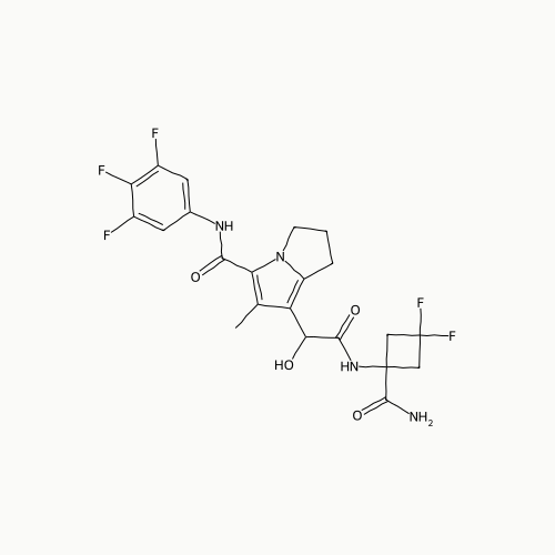 Cc1c(C(O)C(=O)NC2(C(N)=O)CC(F)(F)C2)c2n(c1C(=O)Nc1cc(F)c(F)c(F)c1)CCC2